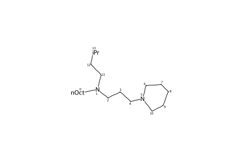 CCCCCCCCN(CCCN1CCCCC1)CCC(C)C